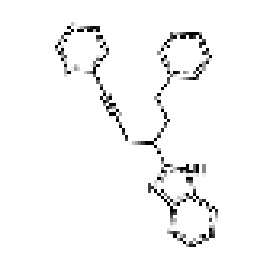 C(#Cc1ccccn1)CC(CCc1ccccc1)c1nc2ccccc2[nH]1